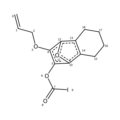 C=CCOc1c(OC(=O)I)c2oc1c1c2CCCC1